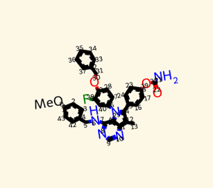 COc1ccc(CNc2ncnc3c(C)c(-c4ccc(OC(N)=O)cc4)n(-c4ccc(OCc5ccccc5)c(F)c4)c23)cc1